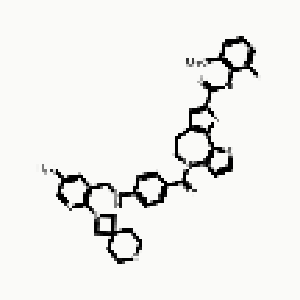 COc1cccc(F)c1NC(=O)c1cc2c(s1)-c1sccc1N(C(=O)c1ccc(NCc3cc(C)cnc3N3CC4(CCOCC4)C3)cc1)CC2